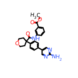 COC(=O)c1cccc(NC(=O)C2(c3ccc(-c4cnc(N)nc4)cc3)CCOCC2)c1